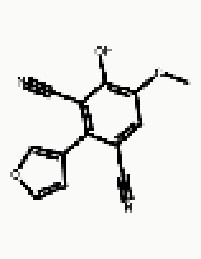 COc1cc(C#N)c(-c2ccoc2)c(C#N)c1O